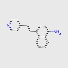 Nc1ccc(C=Cc2ccncc2)c2ccccc12